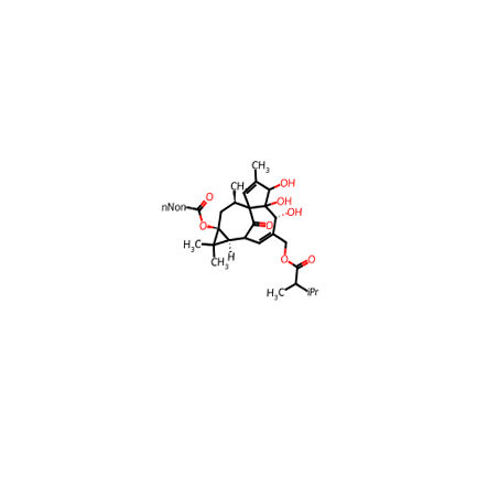 CCCCCCCCCC(=O)O[C@@]12C[C@@H](C)C34C=C(C)C(O)C3(O)[C@H](O)C(COC(=O)C(C)C(C)C)=CC(C4=O)[C@H]1C2(C)C